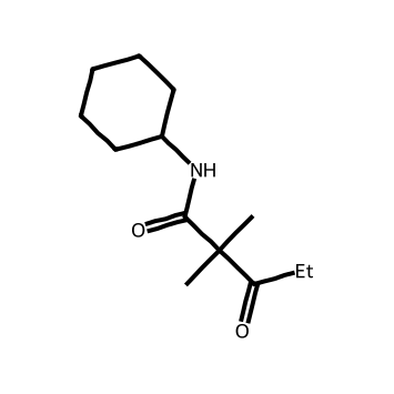 CCC(=O)C(C)(C)C(=O)NC1CCCCC1